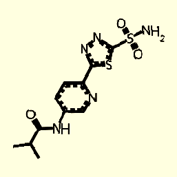 CC(C)C(=O)Nc1ccc(-c2nnc(S(N)(=O)=O)s2)nc1